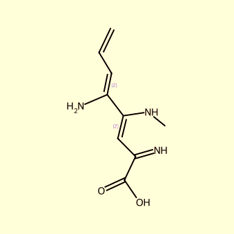 C=C/C=C(N)/C(=C/C(=N)C(=O)O)NC